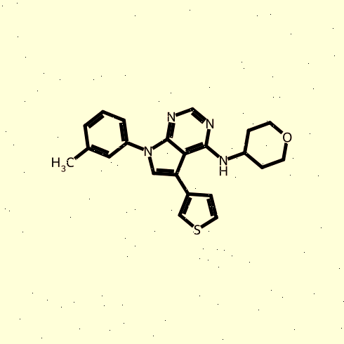 Cc1cccc(-n2cc(-c3ccsc3)c3c(NC4CCOCC4)ncnc32)c1